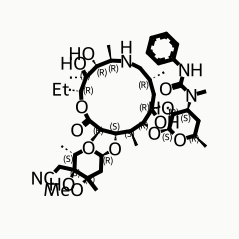 CC[C@H]1OC(=O)[C@H](C)[C@@H](O[C@H]2C[C@@](C)(OC)[C@](O)(CC#N)[C@H](C)O2)[C@H](C)[C@@H](O[C@@H]2O[C@H](C)C[C@H](N(C)C(=O)Nc3ccccc3)[C@H]2O)[C@](C)(O)C[C@@H](C)CN[C@H](C)[C@@H](O)[C@]1(C)O